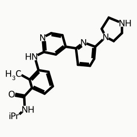 Cc1c(Nc2cc(-c3cccc(N4CCNCC4)n3)ccn2)cccc1C(=O)NC(C)C